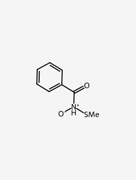 CS[NH+]([O-])C(=O)c1ccccc1